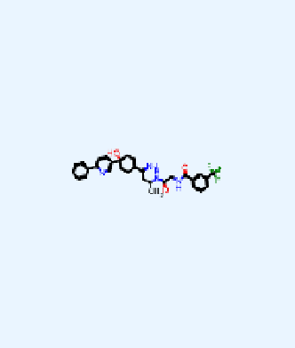 C[C@H](CC(=N)C1CCC(O)(c2ccc(-c3ccccc3)nc2)CC1)NC(=O)CNC(=O)c1cccc(C(F)(F)F)c1